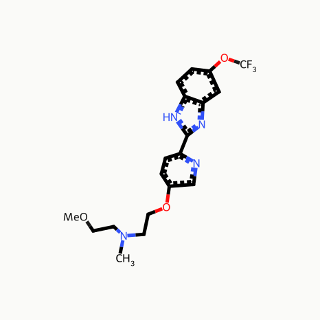 COCCN(C)CCOc1ccc(-c2nc3cc(OC(F)(F)F)ccc3[nH]2)nc1